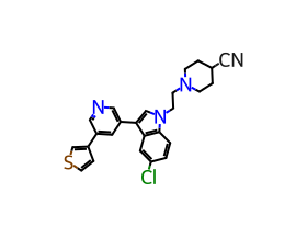 N#CC1CCN(CCn2cc(-c3cncc(-c4ccsc4)c3)c3cc(Cl)ccc32)CC1